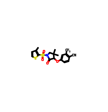 Cc1ccsc1S(=O)(=O)N1CC(C)(C)C(Oc2ccc(C#N)c(C(F)(F)F)c2)C1=O